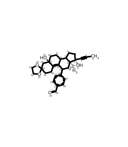 CC#C[C@]1(O)CCC2C3CC[C@@]4(O)CC5(CCC4=C3C(c3ccc(C=O)cc3)C[C@@]21C)OCCO5